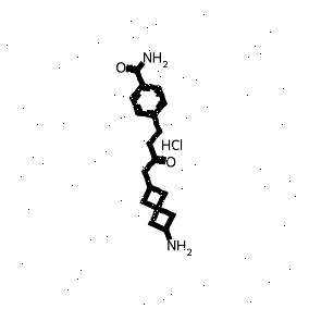 Cl.NC(=O)c1ccc(CCC(=O)CC2CC3(CC(N)C3)C2)cc1